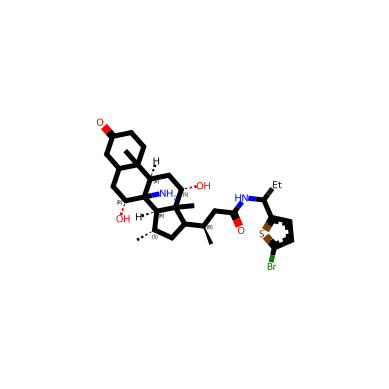 CCC(NC(=O)C[C@@H](C)C1C[C@H](C)[C@@H]2C1(C)[C@@H](O)C[C@@H]1C3(C)CCC(=O)CC3C[C@@H](O)C12N)c1ccc(Br)s1